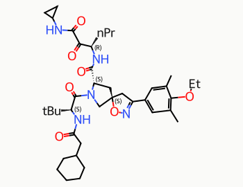 CCC[C@@H](NC(=O)[C@@H]1C[C@]2(CC(c3cc(C)c(OCC)c(C)c3)=NO2)CN1C(=O)[C@@H](NC(=O)CC1CCCCC1)C(C)(C)C)C(=O)C(=O)NC1CC1